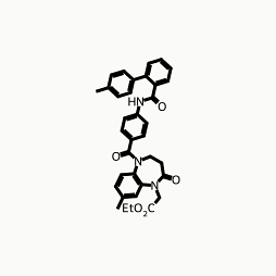 CCOC(=O)CN1C(=O)CCN(C(=O)c2ccc(NC(=O)c3ccccc3-c3ccc(C)cc3)cc2)c2ccc(C)cc21